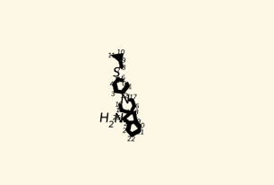 C/C=C(\C=C/C(C)SCC1CC1)N1CCC2(CC1)Cc1ccccc1C2N